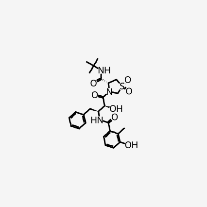 Cc1c(O)cccc1C(=O)N[C@@H](Cc1ccccc1)[C@H](O)C(=O)N1CS(=O)(=O)C[C@H]1C(=O)NC(C)(C)C